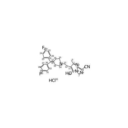 Cc1nc2c(C#N)ncn2c(O)c1CCN1CCC(=C(c2ccc(F)cc2)c2ccc(F)cc2)CC1.Cl